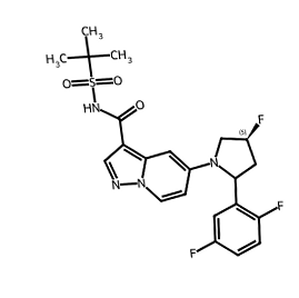 CC(C)(C)S(=O)(=O)NC(=O)c1cnn2ccc(N3C[C@@H](F)CC3c3cc(F)ccc3F)cc12